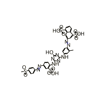 Cc1cc(Nc2nc(O)nc(Nc3ccc(/N=N/c4ccc(S(C)(=O)=O)cc4)cc3S(=O)(=O)O)n2)ccc1/N=N/c1cc(S(=O)(=O)O)c2cccc(S(=O)(=O)O)c2c1